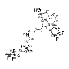 CN(CCCCCCC1=C(c2ccc(F)c(F)c2)CCCc2cc(O)ccc21)CCCS(=O)(=O)CCCC(F)(F)C(F)(F)F